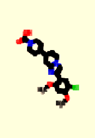 COc1cc(OC)c(-c2cn3ccc(C4=CCN(C(=O)O)CC4)cc3n2)cc1Cl